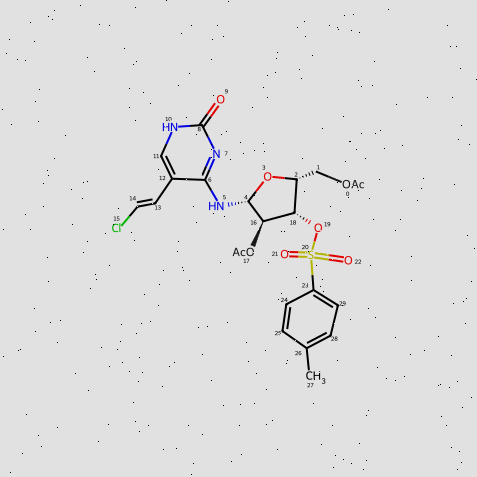 CC(=O)OC[C@H]1O[C@@H](Nc2nc(=O)[nH]cc2C=CCl)[C@H](OC(C)=O)[C@H]1OS(=O)(=O)c1ccc(C)cc1